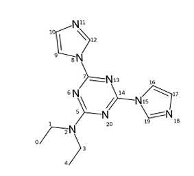 CCN(CC)c1nc(-n2ccnc2)nc(-n2ccnc2)n1